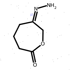 N/N=C1/CCCC(=O)OC1